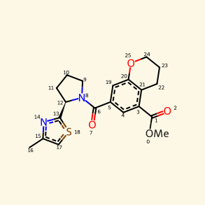 COC(=O)c1cc(C(=O)N2CCC[C@@H]2c2nc(C)cs2)cc2c1CCCO2